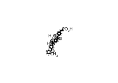 CC1CCCCN1C(=O)C1CCC(NS(=O)(=O)c2ccc3c(Cl)c(-c4ccc(CCC(=O)O)cc4)n(C)c3c2)CC1